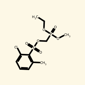 CCOP(=O)(COS(=O)(=O)c1c(C)cccc1Cl)OC